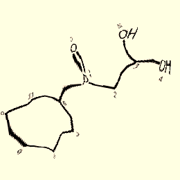 O=[P](CC(O)O)C1CCCCC1